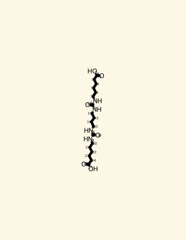 O=C(O)CCCCCNC(=O)NCCCCNC(=O)NCCCCCC(=O)O